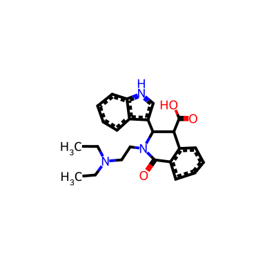 CCN(CC)CCN1C(=O)c2ccccc2C(C(=O)O)C1c1c[nH]c2ccccc12